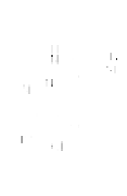 Oc1cc(-c2nc(Nc3ccc4[nH]ncc4c3)c3ccccc3n2)cc(O)c1O